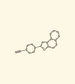 N#Cc1ccc(-c2cc3c(ccc4ccccc43)o2)cc1